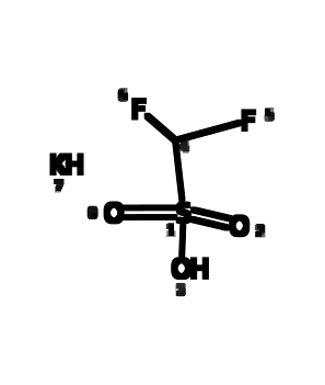 O=S(=O)(O)C(F)F.[KH]